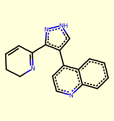 C1=CC(c2n[nH]cc2-c2ccnc3ccccc23)=NCC1